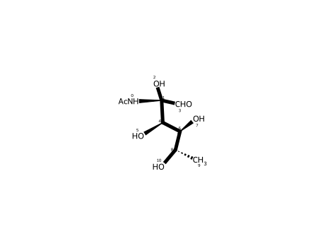 CC(=O)N[C@@](O)(C=O)[C@H](O)[C@@H](O)[C@H](C)O